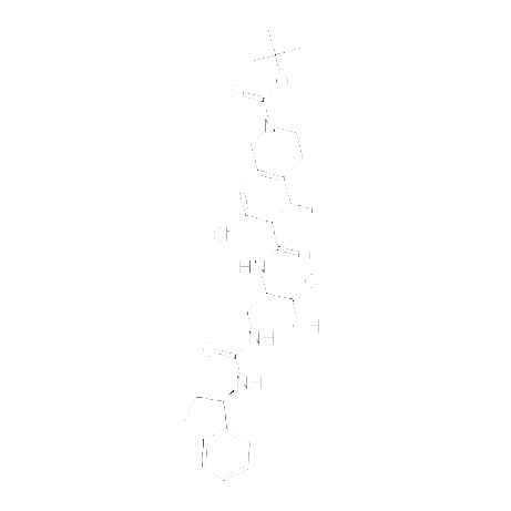 CC(C)(C)OC(=O)N1CCc2c(cc(Cl)c(C(=O)NC(CNC(=O)N[C@@H]3CCc4ccccc43)C(=O)O)c2Cl)C1